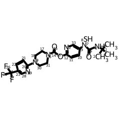 CC(C)(C)NC(=O)N(S)c1ccc(OC(=O)N2CCN(c3ccc(C(F)(F)F)cn3)CC2)nc1